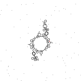 CC(=O)N1CCN(S(=O)(=O)c2ccc(CC3OC(=O)C(CC(C)C)N(C)CC(C)OC(=O)C(CC(C)C)N(C)C(=O)C(Cc4ccc(S(=O)(=O)O)cc4)OC(=O)C(CC(C)C)N(C)CC(C)OC(=O)C(CC(C)C)N(C)C3=O)cc2)CC1